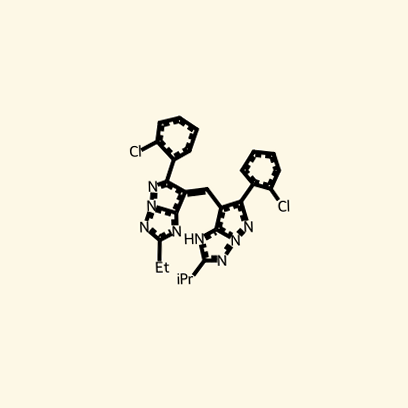 CCc1nc2c(=Cc3c(-c4ccccc4Cl)nn4nc(C(C)C)[nH]c34)c(-c3ccccc3Cl)nn2n1